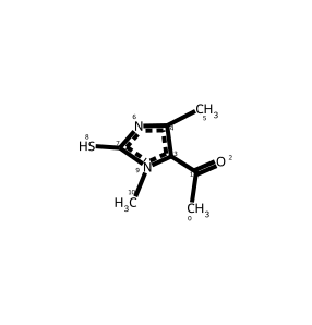 CC(=O)c1c(C)nc(S)n1C